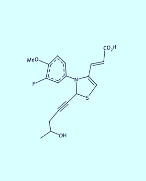 COc1ccc(N2C(C=CC(=O)O)=CSC2C#CCC(C)O)cc1F